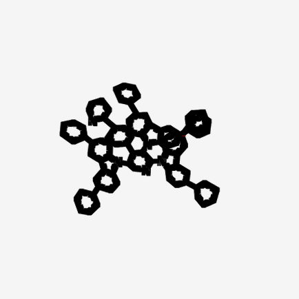 c1ccc(-c2ccc3c(c2)c2cc(-c4ccccc4)ccc2n3-c2cnc(-n3c4ccc(-c5ccccc5)cc4c4cc(-c5ccccc5)ccc43)c(-n3c4ccc(-c5ccccc5)cc4c4cc(-c5ccccc5)ccc43)c2-c2ccc(-c3ccccn3)cc2)cc1